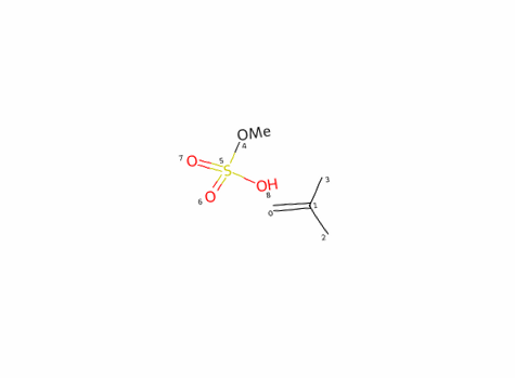 C=C(C)C.COS(=O)(=O)O